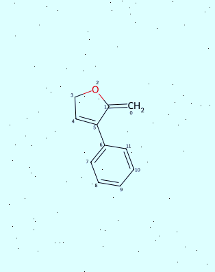 C=C1OCC=C1c1ccccc1